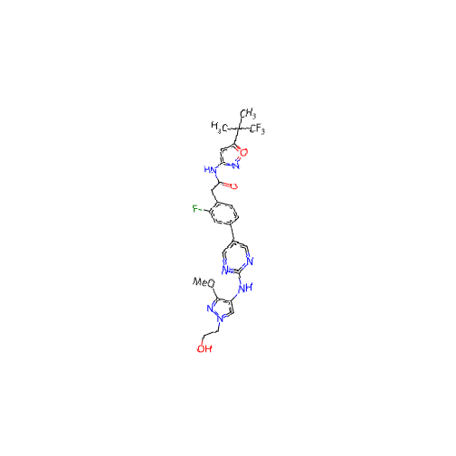 COc1nn(CCO)cc1Nc1ncc(-c2ccc(CC(=O)Nc3cc(C(C)(C)C(F)(F)F)on3)c(F)c2)cn1